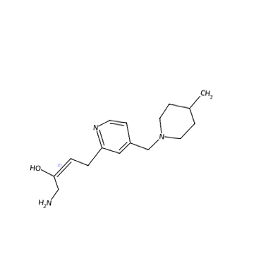 CC1CCN(Cc2ccnc(C/C=C(/O)CN)c2)CC1